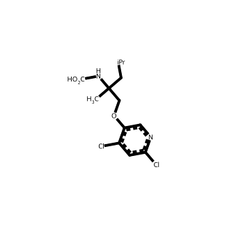 CC(C)CC(C)(COc1cnc(Cl)cc1Cl)NC(=O)O